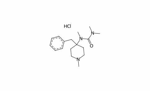 CN1CCC(Cc2ccccc2)(N(C)C(=O)N(C)C)CC1.Cl